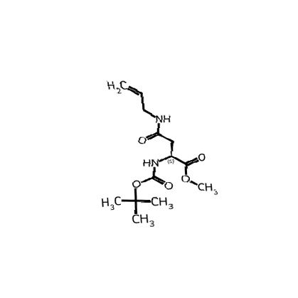 C=CCNC(=O)C[C@H](NC(=O)OC(C)(C)C)C(=O)OC